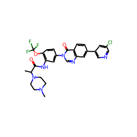 CC(C(=O)Nc1cc(-n2cnc3cc(-c4cncc(Cl)c4)ccc3c2=O)ccc1OC(F)(F)F)N1CCN(C)CC1